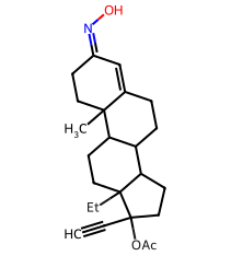 C#CC1(OC(C)=O)CCC2C3CCC4=CC(=NO)CCC4(C)C3CCC21CC